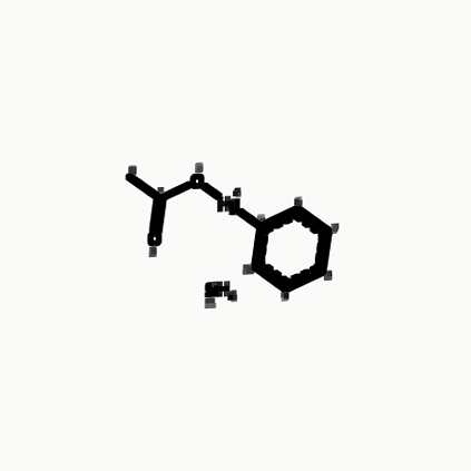 CC(=O)[O][Hg][c]1ccccc1.[SiH4]